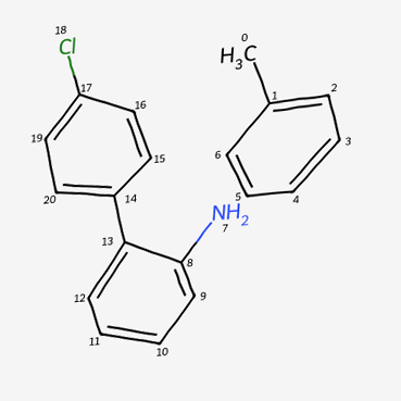 Cc1ccccc1.Nc1ccccc1-c1ccc(Cl)cc1